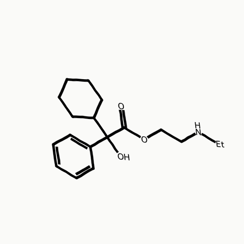 CCNCCOC(=O)C(O)(c1ccccc1)C1CCCCC1